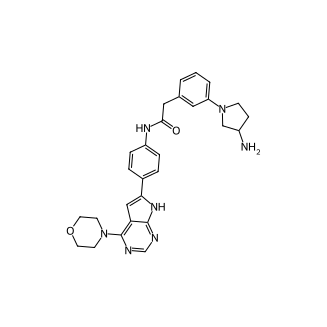 NC1CCN(c2cccc(CC(=O)Nc3ccc(-c4cc5c(N6CCOCC6)ncnc5[nH]4)cc3)c2)C1